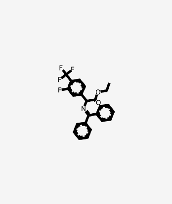 CCOC(=O)C(N=C(c1ccccc1)c1ccccc1)c1ccc(C(F)(F)F)c(F)c1